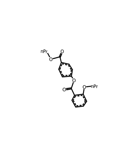 CCCOC(=O)c1ccc(OC(=O)c2ccccc2OCCC)cc1